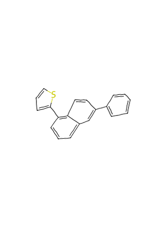 c1ccc(-c2ccc3c(-c4cccs4)cccc3c2)cc1